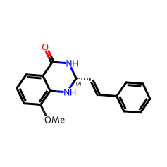 COc1cccc2c1N[C@@H](C=Cc1ccccc1)NC2=O